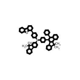 CC1(C)c2ccccc2-c2ccc(N(c3ccc(-c4c5c(c6ccccc6c4-c4ccccc4)C(C)(C)c4ccccc4-5)cc3)c3ccc(-c4cccc5c4oc4ccccc45)cc3)cc21